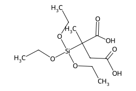 CCO[Si](OCC)(OCC)C(C)(CC(=O)O)C(=O)O